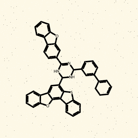 C1=CCCC(c2cccc(C3N=C(c4ccc5c(c4)oc4ccccc45)NC(c4cc5c6ccccc6oc5c5c4sc4ccccc45)N3)c2)=C1